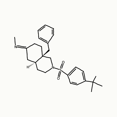 C/N=C1\CC[C@]2(Cc3ccccc3)CN(S(=O)(=O)c3ccc(C(C)(C)C)cc3)CC[C@H]2C1